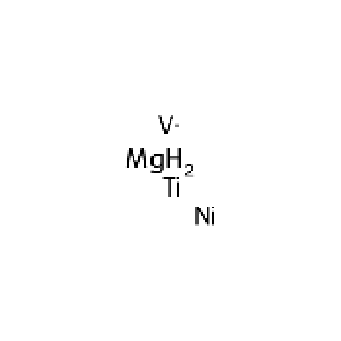 [MgH2].[Ni].[Ti].[V]